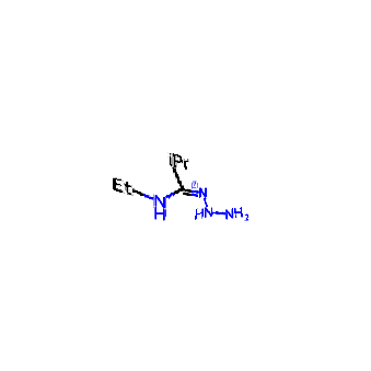 CCN/C(=N\NN)C(C)C